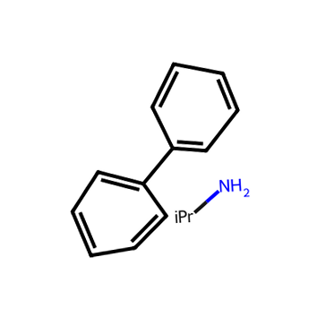 CC(C)N.c1ccc(-c2ccccc2)cc1